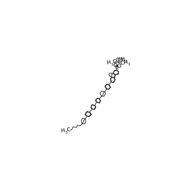 CCCCCCC12CCC(c3ccc(-c4ccc(-c5ccc(C67CCC(c8ccc(-c9ccc%10c(c9)oc9cc(B%11OC(C)(C)C(C)(C)O%11)ccc9%10)cc8)(CC6)CC7)cc5)cc4)cc3)(CC1)CC2